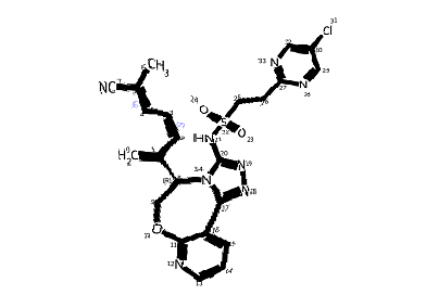 C=C(/C=C\C=C(/C)C#N)[C@@H]1COc2ncccc2-c2nnc(NS(=O)(=O)CCc3ncc(Cl)cn3)n21